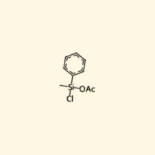 CC(=O)O[Si](C)(Cl)c1ccccc1